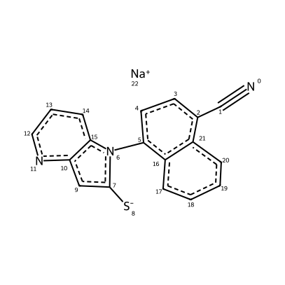 N#Cc1ccc(-n2c([S-])cc3ncccc32)c2ccccc12.[Na+]